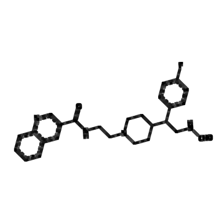 O=CNCC(c1ccc(F)cc1)C1CCN(CCNC(=O)c2cnc3ccccc3c2)CC1